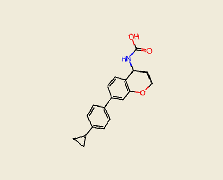 O=C(O)NC1CCOc2cc(-c3ccc(C4CC4)cc3)ccc21